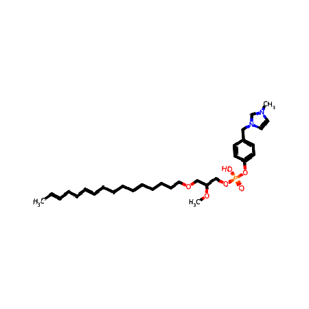 CCCCCCCCCCCCCCCCOCC(COP(=O)(O)Oc1ccc(CN2[CH]N(C)C=C2)cc1)OC